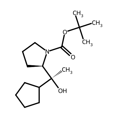 CC(C)(C)OC(=O)N1CCC[C@@H]1[C@@](C)(O)C1CCCC1